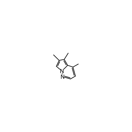 Cc1cn2nccc(C)c2c1C